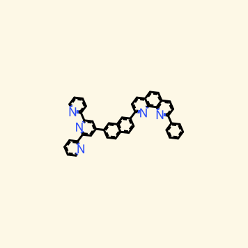 c1ccc(-c2ccc3ccc4ccc(-c5ccc6ccc(-c7cc(-c8ccccn8)nc(-c8ccccn8)c7)cc6c5)nc4c3n2)cc1